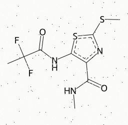 CNC(=O)c1nc(SC)sc1NC(=O)C(C)(F)F